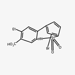 CCc1cc2c(cc1C(=O)O)NS(=O)(=O)c1ccc-2cc1Br